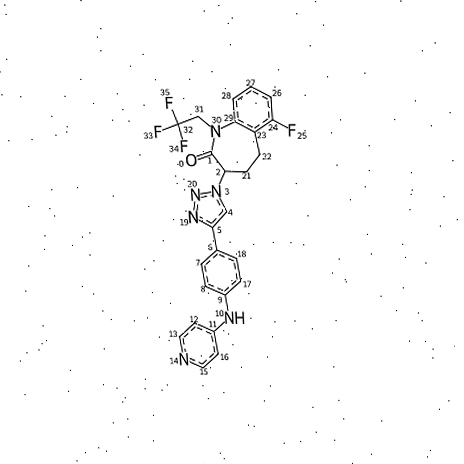 O=C1C(n2cc(-c3ccc(Nc4ccncc4)cc3)nn2)CCc2c(F)cccc2N1CC(F)(F)F